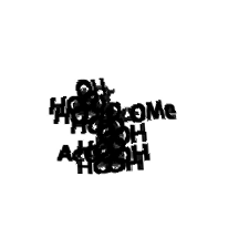 COc1ccc(-c2oc3c(CC=C(C)C)c(O[C@@H]4O[C@H](CO)[C@@H](O)[C@H](O)[C@H]4O)cc(O)c3c(=O)c2O[C@@H]2O[C@@H](C)[C@H](O)[C@@H](O[C@@H]3O[C@H](COC(C)=O)[C@H](O)[C@H](O)[C@H]3O)[C@H]2O)cc1